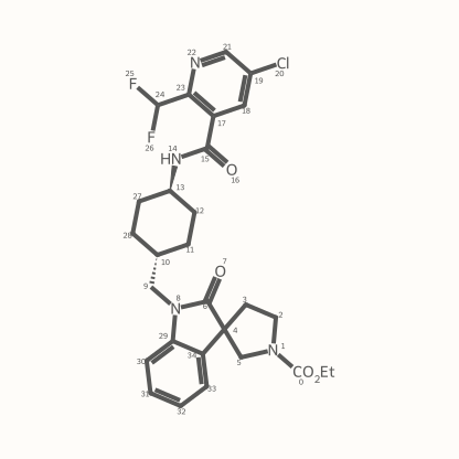 CCOC(=O)N1CCC2(C1)C(=O)N(C[C@H]1CC[C@H](NC(=O)c3cc(Cl)cnc3C(F)F)CC1)c1ccccc12